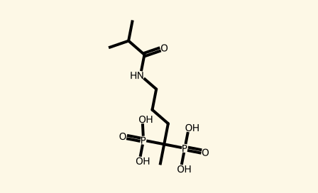 CC(C)C(=O)NCCCC(C)(P(=O)(O)O)P(=O)(O)O